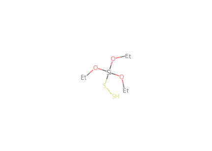 CCO[Si](OCC)(OCC)SS